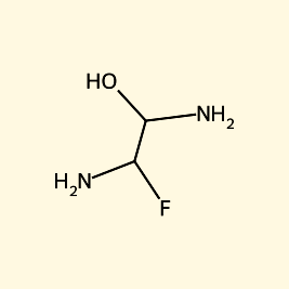 NC(O)C(N)F